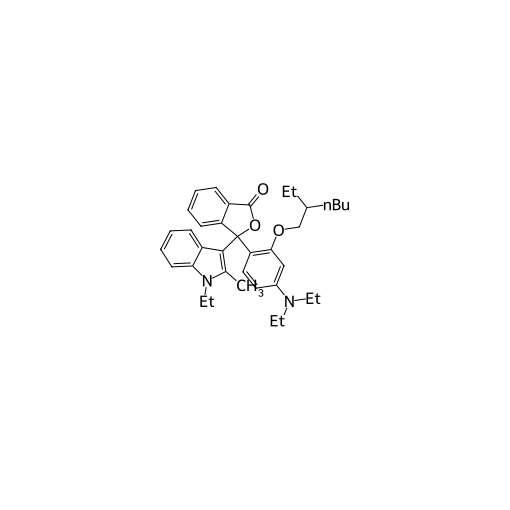 CCCCC(CC)COc1cc(N(CC)CC)ccc1C1(c2c(C)n(CC)c3ccccc23)OC(=O)c2ccccc21